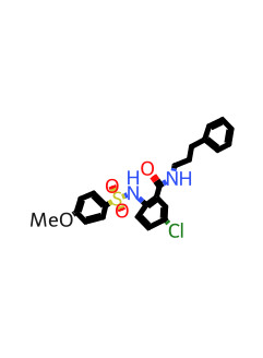 COc1ccc(S(=O)(=O)Nc2ccc(Cl)cc2C(=O)NCCCc2ccccc2)cc1